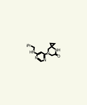 CC(C)CNc1cc(N2CC(=O)NC3(CC3)C2)ncn1